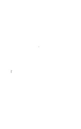 CCNC(=O)CCC(C(C)=O)c1ccccc1